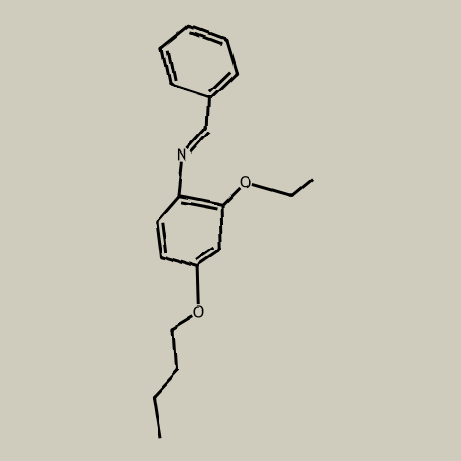 CCCCOc1ccc(N=Cc2ccccc2)c(OCC)c1